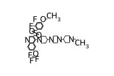 CCOc1ccc(S(=O)(=O)c2cnc3ccc(OC(F)(F)F)cc3c2N2CCC(N3CCN(C4CCN(CC)CC4)CC3)CC2)c(F)c1F